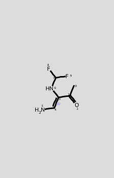 CC(=O)/C(=C/N)NC(F)F